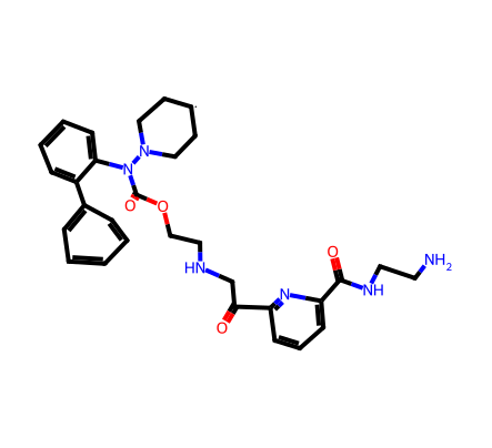 NCCNC(=O)c1cccc(C(=O)CNCCOC(=O)N(c2ccccc2-c2ccccc2)N2CC[CH]CC2)n1